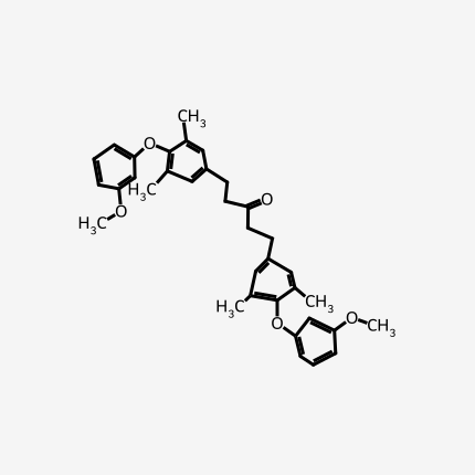 COc1cccc(Oc2c(C)cc(CCC(=O)CCc3cc(C)c(Oc4cccc(OC)c4)c(C)c3)cc2C)c1